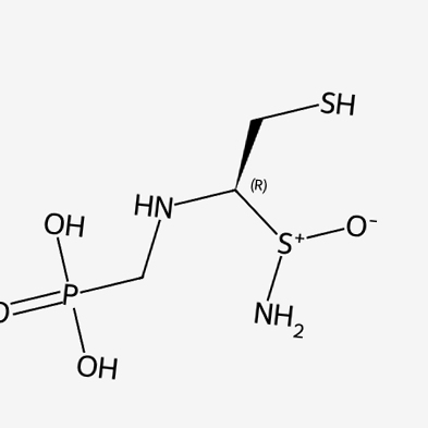 N[S+]([O-])[C@H](CS)NCP(=O)(O)O